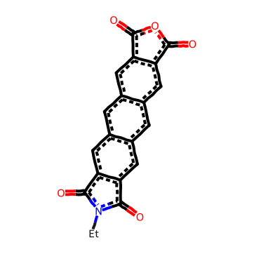 CCn1c(=O)c2cc3cc4cc5c(=O)oc(=O)c5cc4cc3cc2c1=O